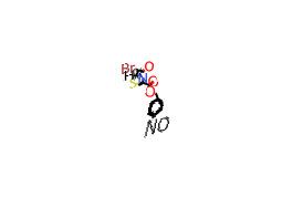 O=Nc1ccc(COC(=O)C2=CS[C@@H]3[C@@H](Br)C(=O)N23)cc1